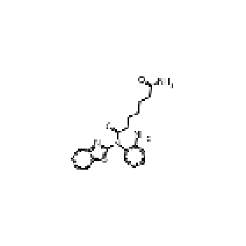 NC(=O)CCCCCC(=O)N(c1nc2ccccc2s1)c1ccccc1N